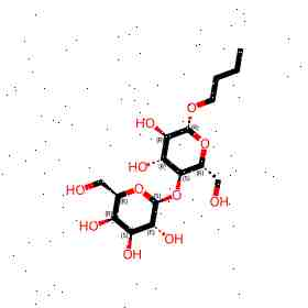 CCCCO[C@@H]1O[C@H](CO)[C@@H](O[C@@H]2O[C@H](CO)[C@H](O)[C@H](O)[C@H]2O)[C@H](O)[C@H]1O